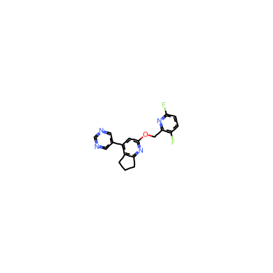 Fc1ccc(F)c(COc2cc(-c3cncnc3)c3c(n2)CCC3)n1